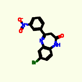 O=C1CC(c2cccc([N+](=O)[O-])c2)=Nc2cc(Br)ccc2N1